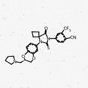 N#Cc1ccc(N2C(=O)C3(CCC3)N(c3ccc4c(c3)OC[C@@H](CN3CCCC3)O4)C2=S)cc1C(F)(F)F